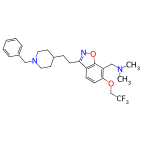 CN(C)Cc1c(OCC(F)(F)F)ccc2c(CCC3CCN(Cc4ccccc4)CC3)noc12